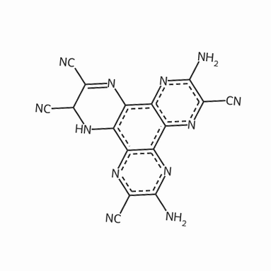 N#CC1=Nc2c(c3nc(C#N)c(N)nc3c3nc(C#N)c(N)nc23)NC1C#N